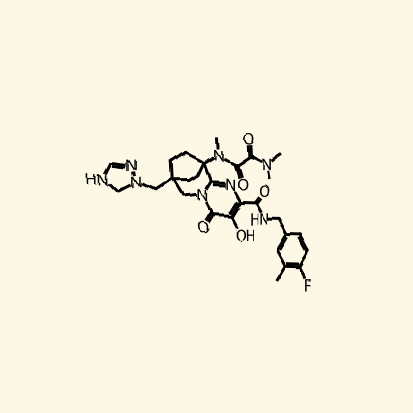 Cc1cc(CNC(=O)c2nc3n(c(=O)c2O)CC2(CN4CNC=N4)CCC3(N(C)C(=O)C(=O)N(C)C)CC2)ccc1F